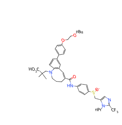 CCCCOCCOc1ccc(-c2ccc3c(c2)/C=C(/C(=O)Nc2ccc([S@@+]([O-])Cc4cnc(C(F)(F)F)n4CCC)cc2)CCCN3CC(C)(C)C(=O)O)cc1